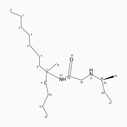 CCCCCCCC(C)(CCCC)NC(=O)CN[C@@H](C)CC